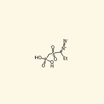 CCC(=[N+]=[N-])S(=O)(=O)CP(=O)(O)O